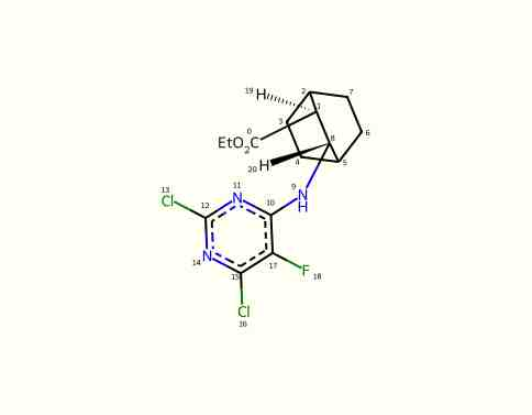 CCOC(=O)[C@H]1C2CCC(CC2)[C@@H]1Nc1nc(Cl)nc(Cl)c1F